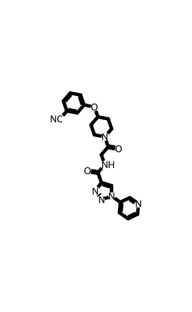 N#Cc1cccc(OC2CCN(C(=O)CNC(=O)c3cn(-c4cccnc4)nn3)CC2)c1